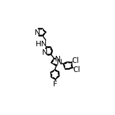 Fc1ccc(-c2cc(-c3ccc(NCc4cccnc4)nc3)nn2-c2ccc(Cl)c(Cl)c2)cc1